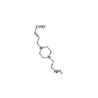 NCCN1CCN(CC=CC=O)CC1